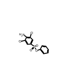 Nc1c(Cl)cc(S(=O)(=O)Oc2ccccc2)cc1Cl